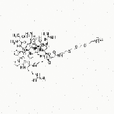 CCONCCCOCCOCCOCCCNC(=O)CNC(=O)[C@H](CCCCNC(=O)C(CCCNC(=N)N)NC(=O)[C@@H]1CCCN1C(=O)[C@@H]1CCCN1C(=O)[C@H](CCCCN)NC(=O)[C@@H](N)[C@@H](C)O)NC(=O)[C@H](CCCNC(=N)N)NC(=O)C1CCCN1C(=O)[C@@H]1CCCN1C(=O)[C@@H](CCCCN)NC(=O)[C@@H](N)[C@@H](C)O